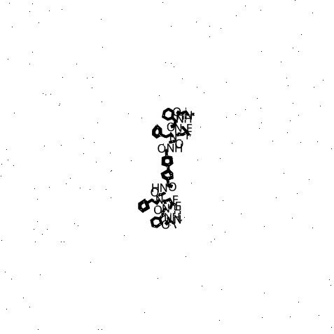 CN[C@@H](C)C(=O)N[C@H](C(=O)N1CC(F)(F)CC1N(CCc1ccccc1)C(=O)CNC(=O)c1ccc(-c2ccc(C(=O)NCC(=O)N(CCc3ccccc3)C3CC(F)(F)CN3C(=O)[C@@H](NC(=O)[C@H](C)NC)C3CCCCC3)cc2)cc1)C1CCCCC1